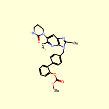 CCCCc1nc2cc(N3CCCNC3=O)c(C)nc2n1Cc1ccc(-c2ccccc2OC(=O)OC(C)(C)C)cc1